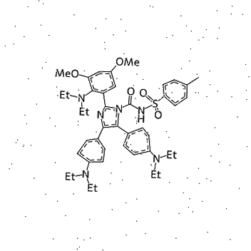 CCN(CC)c1ccc(-c2nc(-c3cc(OC)cc(OC)c3N(CC)CC)n(C(=O)NS(=O)(=O)c3ccc(C)cc3)c2-c2ccc(N(CC)CC)cc2)cc1